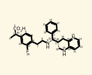 C[C@@H](C(=O)O)c1ccc(CCN[C@H](c2ccccc2)[C@H]2CNc3cccnc3C2)c(F)c1